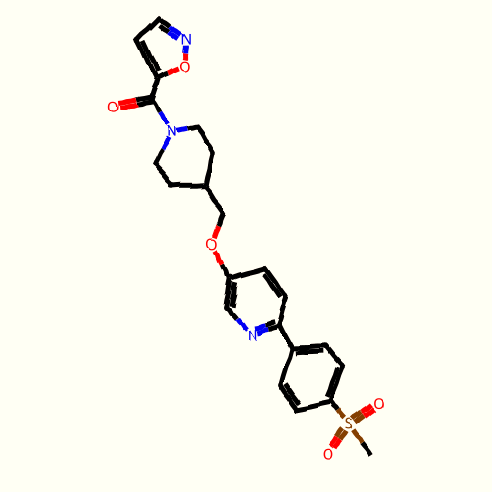 CS(=O)(=O)c1ccc(-c2ccc(OCC3CCN(C(=O)c4ccno4)CC3)cn2)cc1